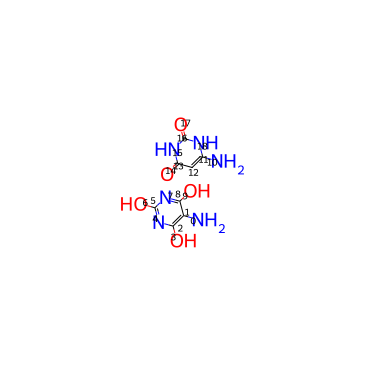 Nc1c(O)nc(O)nc1O.Nc1cc(=O)[nH]c(=O)[nH]1